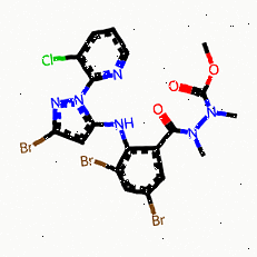 COC(=O)N(C)N(C)C(=O)c1cc(Br)cc(Br)c1Nc1cc(Br)nn1-c1ncccc1Cl